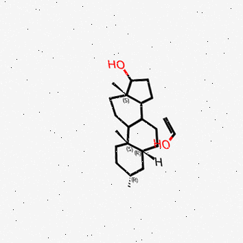 C=CO.C[C@@H]1CC[C@]2(C)C3CC[C@]4(C)C(O)CCC4C3CC[C@@H]2C1